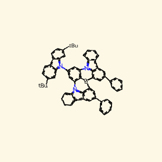 CC(C)(C)c1ccc2c3ccc(C(C)(C)C)cc3n(-c3cc4c5c(c3)-n3c6ccccc6c6cc(-c7ccccc7)cc(c63)B5c3cc(-c5ccccc5)cc5c6c(n-4c35)=CCCC=6)c2c1